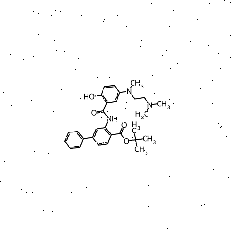 CN(C)CCN(C)c1ccc(O)c(C(=O)Nc2cc(-c3ccccc3)ccc2C(=O)OC(C)(C)C)c1